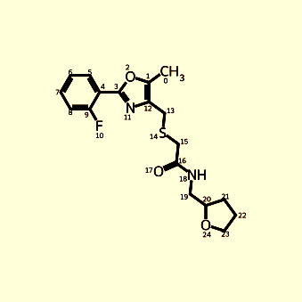 Cc1oc(-c2ccccc2F)nc1CSCC(=O)NCC1CCCO1